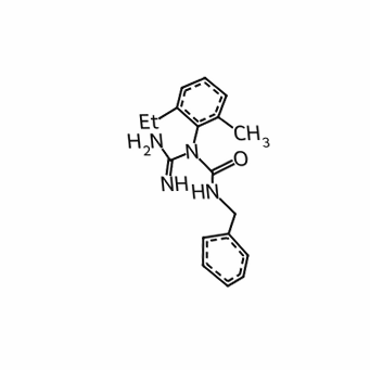 CCc1cccc(C)c1N(C(=N)N)C(=O)NCc1ccccc1